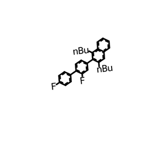 CCCCc1cc2ccccc2c(CCCC)c1-c1ccc(-c2ccc(F)cc2)c(F)c1